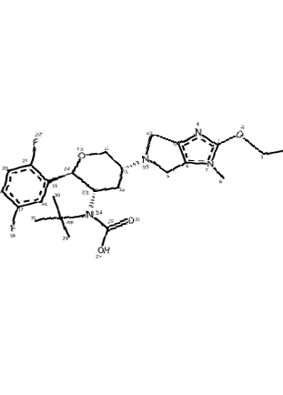 CCOc1nc2c(n1C)CN([C@H]1CO[C@H](c3cc(F)ccc3F)[C@@H](N(C(=O)O)C(C)(C)C)C1)C2